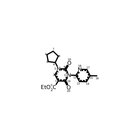 CCOC(=O)c1cn(C2CCCC2)c(=O)n(-c2ccc(C)cn2)c1=O